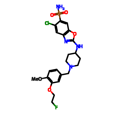 COc1ccc(CN2CCC(Nc3nc4cc(Cl)c(S(N)(=O)=O)cc4o3)CC2)cc1OCCF